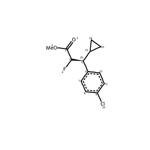 COC(=O)C(F)[C@H](c1ccc(Cl)cc1)C1CC1